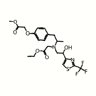 CCOC(=O)CN(CC(O)c1csc(C(F)(F)F)n1)C(C)Cc1ccc(OCC(=O)OC)cc1